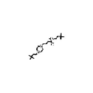 CC(C)(C)CCNC(=O)CCCN1CCN(CCC(C)(C)C)CC1